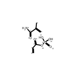 C=C(C)C(N)=O.C=CC(=O)OP(=O)(O)O